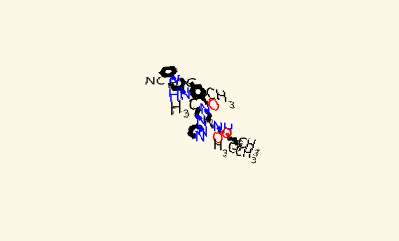 Cc1cc(C)c(C(=O)N2CCN(c3cccnn3)[C@H](CNC(=O)OCC[Si](C)(C)C)C2)c(C)c1NC1CCN(c2ccccc2C#N)CC1